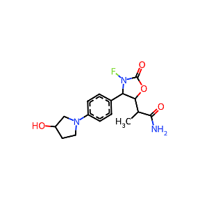 CC(C(N)=O)C1OC(=O)N(F)C1c1ccc(N2CCC(O)C2)cc1